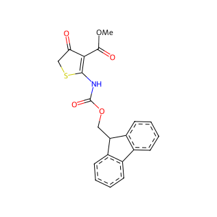 COC(=O)C1=C(NC(=O)OCC2c3ccccc3-c3ccccc32)SCC1=O